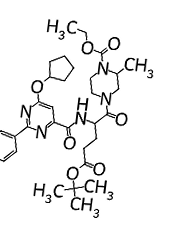 CCOC(=O)N1CCN(C(=O)C(CCC(=O)OC(C)(C)C)NC(=O)c2cc(OC3CCCC3)nc(-c3ccccc3)n2)CC1C